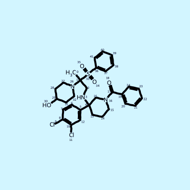 CC(CNC1(c2ccc(Cl)c(Cl)c2)CCCN(C(=O)c2ccccc2)C1)(N1CCC(O)CC1)S(=O)(=O)c1ccccc1